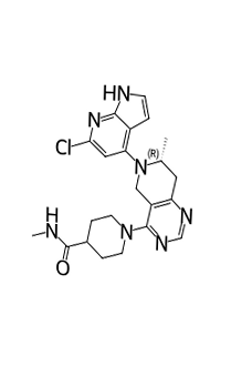 CNC(=O)C1CCN(c2ncnc3c2CN(c2cc(Cl)nc4[nH]ccc24)[C@H](C)C3)CC1